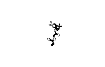 C=CC(=O)OCC(=O)OC1C2CC3OS(=O)(=O)C1C3C2(C)C